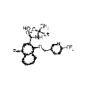 CCC(C)(NC(=O)c1cc(F)c2ccccc2c1OCc1ccc(C(F)(F)F)nc1)C(=O)O